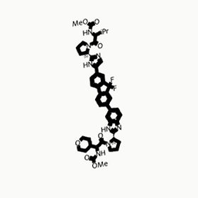 COC(=O)NC(C(=O)N1CCC[C@H]1c1ncc(-c2ccc3c(c2)C(F)(F)c2cc(-c4ccc5nc([C@@H]6CCCN6C(=O)C(NC(=O)OC)C6CCOCC6)[nH]c5c4)ccc2-3)[nH]1)C(C)C